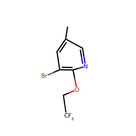 Cc1cnc(OCC(F)(F)F)c(Br)c1